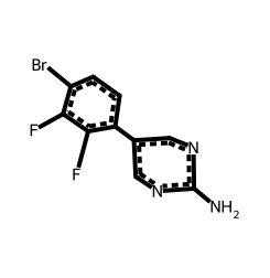 Nc1ncc(-c2ccc(Br)c(F)c2F)cn1